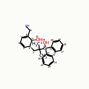 CC(C)(C[C@H]1C=CC=C(CI)[C@H]1O)[Si](O)(c1ccccc1)c1ccccc1